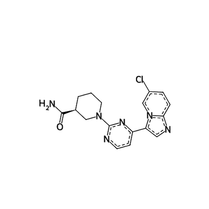 NC(=O)[C@H]1CCCN(c2nccc(-c3cnc4ccc(Cl)cn34)n2)C1